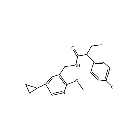 CCC(C(=O)NCc1cc(C2CC2)cnc1OC)c1ccc(Cl)cc1